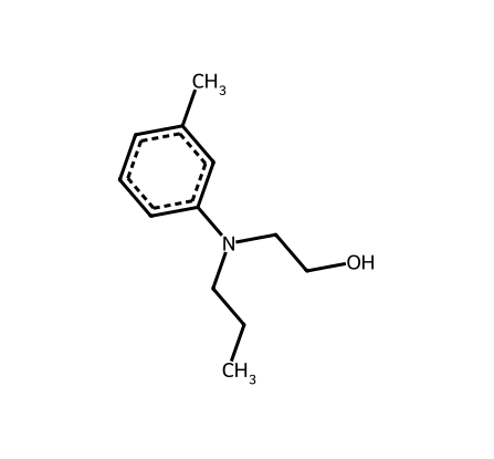 CCCN(CCO)c1cccc(C)c1